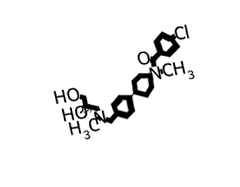 CN(Cc1ccc([C@H]2CC[C@H](N(C)C(=O)c3ccc(Cl)cc3)CC2)cc1)C[C@H](O)CO